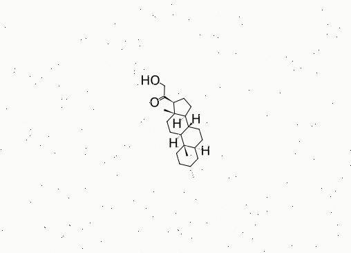 C[C@@H]1CC[C@@]2(C)[C@@H](CC[C@@H]3[C@@H]2CC[C@]2(C)[C@@H](C(=O)CO)CC[C@@H]32)C1